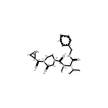 CC(C)[C@@H](C(=O)OCc1ccccc1)N(C)C(=O)N1CCN(C(=O)[C@H]2CN2)C(=O)C1